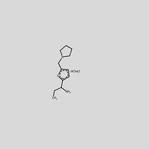 C[CH]C(N)c1ccc(CN2CCCC2)s1.Cl.Cl